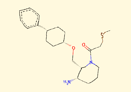 CSCC(=O)N1CCC[C@H](N)[C@@H]1CO[C@H]1CC[C@@H](c2ccccc2)CC1